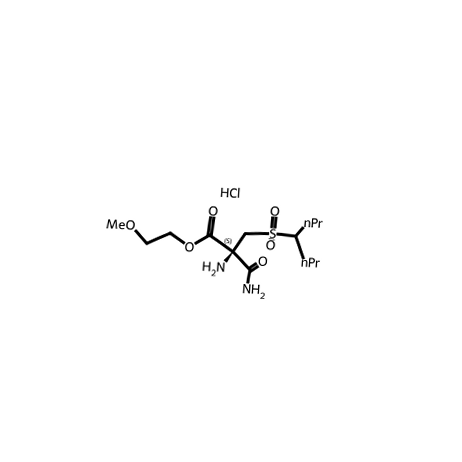 CCCC(CCC)S(=O)(=O)C[C@](N)(C(N)=O)C(=O)OCCOC.Cl